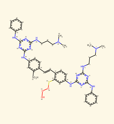 CN(C)CCCNc1nc(Nc2ccccc2)nc(Nc2ccc(/C=C/c3ccc(Nc4nc(NCCCN(C)C)nc(Nc5ccccc5)n4)cc3S(=O)(=O)O)c(SOOO)c2)n1